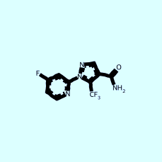 NC(=O)c1cnn(-c2cc(F)ccn2)c1C(F)(F)F